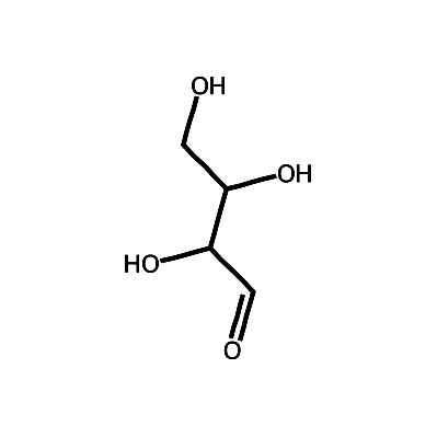 O=CC(O)C(O)CO